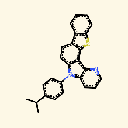 CC(C)c1ccc(-n2c3cccnc3c3c4sc5ccccc5c4ccc32)cc1